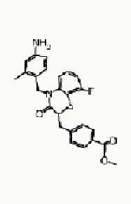 COC(=O)c1ccc(CC2Sc3c(F)cccc3N(Cc3ccc(N)cc3C)C2=O)cc1